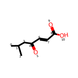 CC(C)CC(=O)C=CC(=O)O